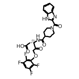 O=C(O)C[C@H](NC(=O)C1CCN(C(=O)c2nc3ccccc3[nH]2)CC1)C(=O)COc1c(F)c(F)cc(F)c1F